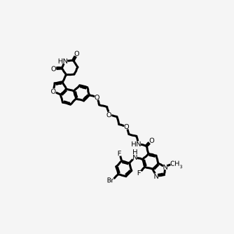 Cn1cnc2c(F)c(Nc3ccc(Br)cc3F)c(C(=O)NCCOCCOCCOc3ccc4c(ccc5occ(C6CCC(=O)NC6=O)c54)c3)cc21